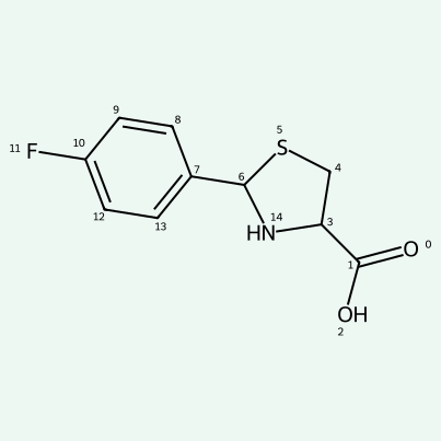 O=C(O)C1CSC(c2ccc(F)cc2)N1